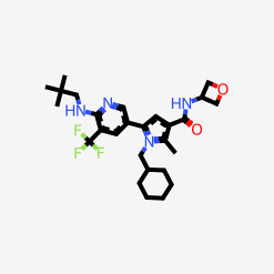 Cc1c(C(=O)NC2COC2)cc(-c2cnc(NCC(C)(C)C)c(C(F)(F)F)c2)n1CC1CCCCC1